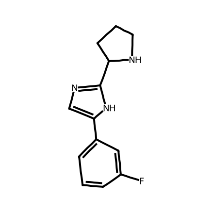 Fc1cccc(-c2cnc(C3CCCN3)[nH]2)c1